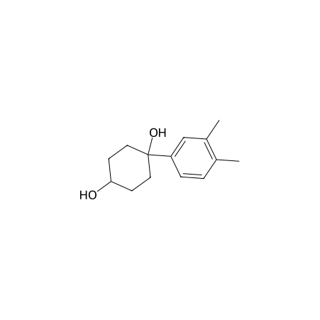 Cc1ccc(C2(O)CCC(O)CC2)cc1C